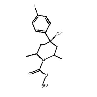 CC1CC(O)(c2ccc(F)cc2)CC(C)N1C(=O)OC(C)(C)C